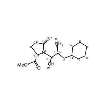 COC(=O)[C@@H]1COC(=S)N1[C@H](O)[C@@H](N)CC1CCCCC1